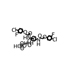 O=C(COc1ccc(Cl)c(F)c1)NC12CCC(NC(=O)COc3ccc(Cl)c(F)c3)(CC1)[C@H](OC(=O)COP(=O)(O)O)C2